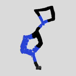 CCn1cc(N2CCC2)nn1